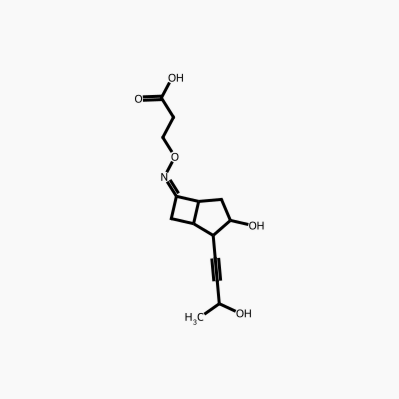 CC(O)C#CC1C(O)CC2C(=NOCCC(=O)O)CC21